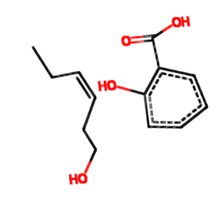 CC/C=C\CCO.O=C(O)c1ccccc1O